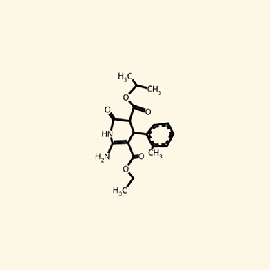 CCOC(=O)C1=C(N)NC(=O)C(C(=O)OC(C)C)C1c1ccccc1C